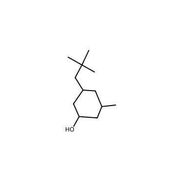 CC1CC(O)CC(CC(C)(C)C)C1